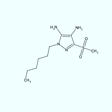 CCCCCCn1nc(S(C)(=O)=O)c(N)c1N